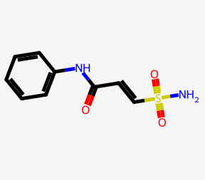 NS(=O)(=O)C=CC(=O)Nc1ccccc1